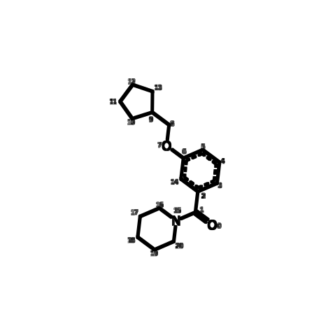 O=C(c1cccc(OCC2CCCC2)c1)N1CCCCC1